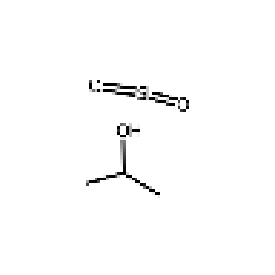 CC(C)O.O=[Si]=O